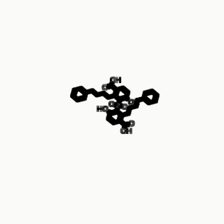 O=C(O)c1ccc(O)c(S(=O)(=O)c2c(O)ccc(C(=O)O)c2CCCCc2ccccc2)c1CCCCc1ccccc1